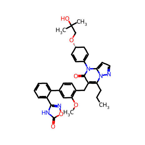 CCCc1c(Cc2ccc(-c3ccccc3-c3noc(=O)[nH]3)cc2OC)c(=O)n(C2=CC[C@@H](OCC(C)(C)O)C=C2)c2ccnn12